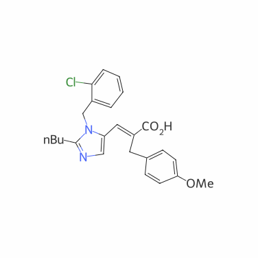 CCCCc1ncc(/C=C(\Cc2ccc(OC)cc2)C(=O)O)n1Cc1ccccc1Cl